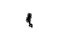 C=C\C=C/C(/C=C/C(=O)OC1C(=O)OC2C3OC(C)(C)OC3OC12)=C\C